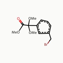 COC(=O)C(OC)(OC)c1cccc(CBr)c1